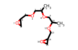 CC(COCC1CO1)OCC(C)OCC1CO1